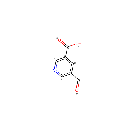 O=[C]c1cncc(C(=O)O)c1